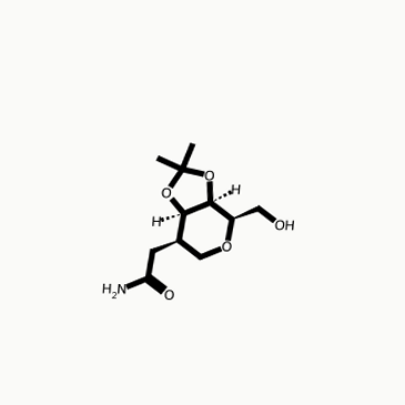 CC1(C)O[C@@H]2[C@H](CC(N)=O)CO[C@H](CO)[C@@H]2O1